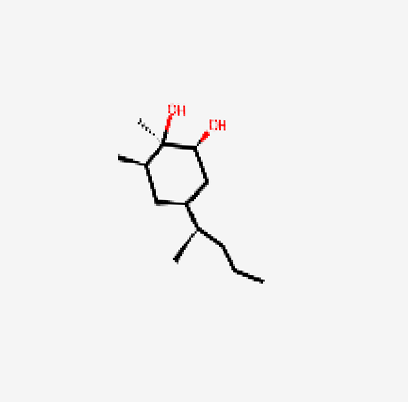 CCC[C@@H](C)[C@H]1C[C@@H](C)[C@@](C)(O)[C@@H](O)C1